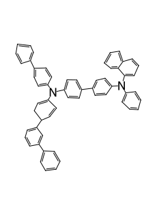 C1=CC(c2cccc(-c3ccccc3)c2)CC=C1N(c1ccc(-c2ccccc2)cc1)c1ccc(-c2ccc(N(c3ccccc3)c3cccc4ccccc34)cc2)cc1